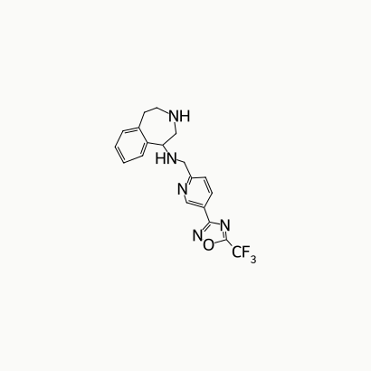 FC(F)(F)c1nc(-c2ccc(CNC3CNCCc4ccccc43)nc2)no1